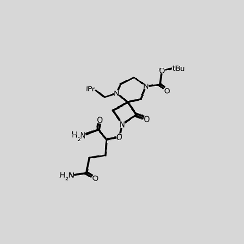 CC(C)CN1CCN(C(=O)OC(C)(C)C)CC12CN(OC(CCC(N)=O)C(N)=O)C2=O